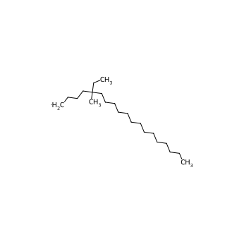 [CH2]CCCC(C)(CC)CCCCCCCCCCCCCC